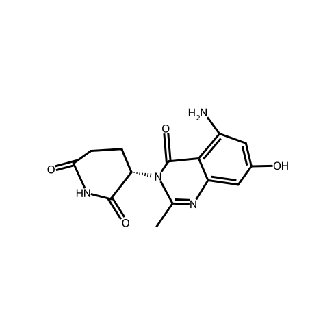 Cc1nc2cc(O)cc(N)c2c(=O)n1[C@H]1CCC(=O)NC1=O